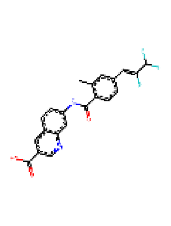 Cc1cc(C=C(F)C(F)F)ccc1C(=O)Nc1ccc2cc(C(=O)O)cnc2c1